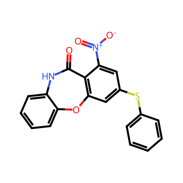 O=C1Nc2ccccc2Oc2cc(Sc3ccccc3)cc([N+](=O)[O-])c21